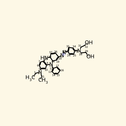 CCN(CC)c1ccc2c(c1)N(c1ccccc1)C1C=C(/N=N/c3ccc(N(CCO)CCO)cc3)C=CC1N2